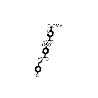 COC(=O)c1ccc(C(=O)NS(=O)(=O)c2ccc(C(=O)NCCc3ccc(Cl)cc3)cc2)cn1